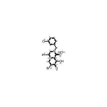 CC(C)c1cn(Cc2cccc(Cl)c2)c(=O)c2c(O)c(=O)c(Br)cn12.Cl